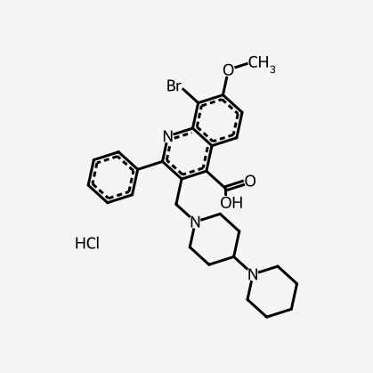 COc1ccc2c(C(=O)O)c(CN3CCC(N4CCCCC4)CC3)c(-c3ccccc3)nc2c1Br.Cl